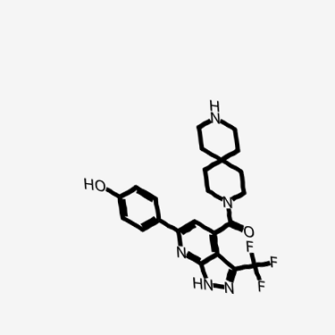 O=C(c1cc(-c2ccc(O)cc2)nc2[nH]nc(C(F)(F)F)c12)N1CCC2(CCNCC2)CC1